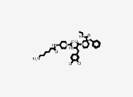 CCNC(=O)[C@]1(Cc2ccccc2)CCCN(C(=O)C(Cc2ccc(Cl)c(Cl)c2)NC(=O)N2CCC(NC(=O)CCCCCN)CC2)C1